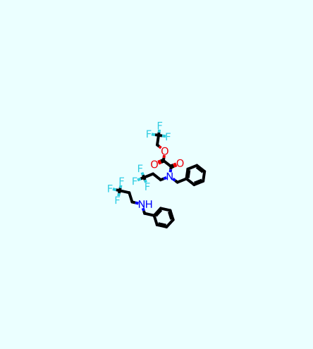 FC(F)(F)CCNCc1ccccc1.O=C(OCC(F)(F)F)C(=O)N(CCC(F)(F)F)Cc1ccccc1